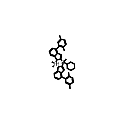 Cc1ccc(C)c(-c2cccc3c2C=C2[CH]3[Hf]([CH3])([CH3])[CH]3C(=Cc4c(-c5cc(C)ccc5C)cccc43)[Si]2(C)C2CCCCC2)c1